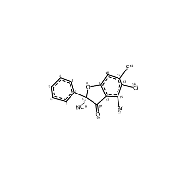 N#C[C@]1(c2ccccc2)Oc2cc(F)c(Cl)c(Br)c2C1=O